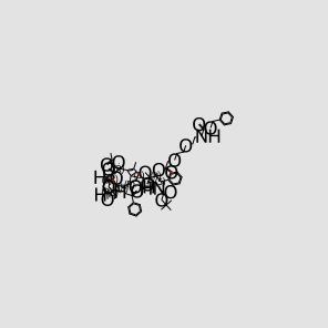 CC(=O)O[C@H]1C(=O)[C@]23C[C@H]2C[C@H]2OC[C@@]2(OC(C)=O)[C@H]3[C@H](CC(=O)c2ccccc2)[C@]2(O)C[C@H](OC(=O)[C@H](OC(=O)COCCOCCNC(=O)OCc3ccccc3)[C@@H](NC(=O)OC(C)(C)C)c3ccccc3)C(C)=C1C2(C)C